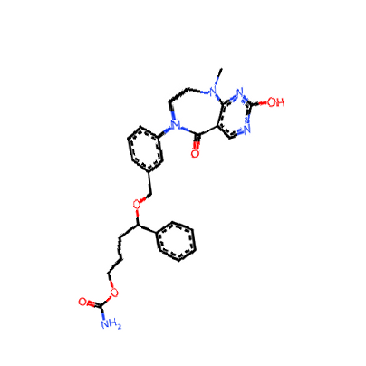 CN1CCN(c2cccc(COC(CCCOC(N)=O)c3ccccc3)c2)C(=O)c2cnc(O)nc21